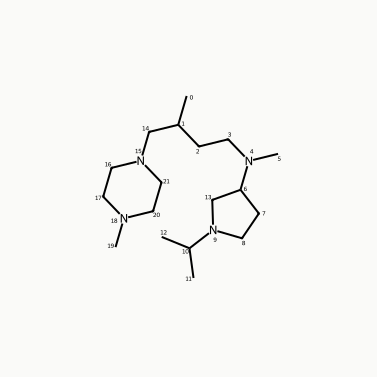 CC(CCN(C)C1CCN(C(C)C)C1)CN1CCN(C)CC1